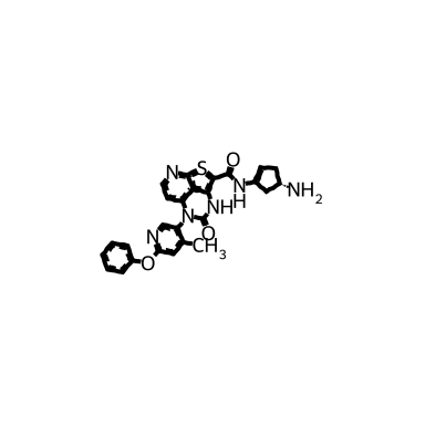 Cc1cc(Oc2ccccc2)ncc1N1C(=O)Nc2c(C(=O)NC3=CC[C@H](N)C3)sc3nccc1c23